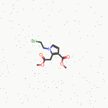 COC(=O)Cc1c(C(=O)OC)ccn1CCBr